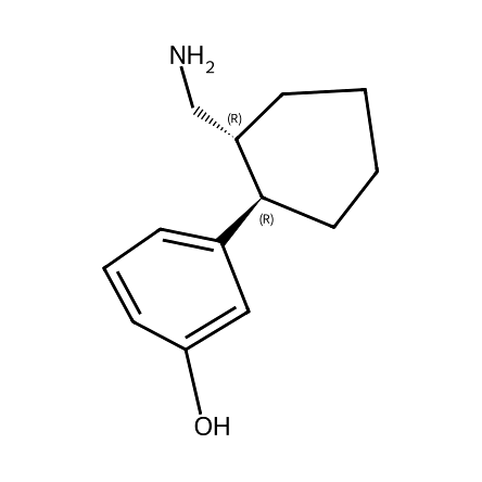 NC[C@@H]1CCCC[C@H]1c1cccc(O)c1